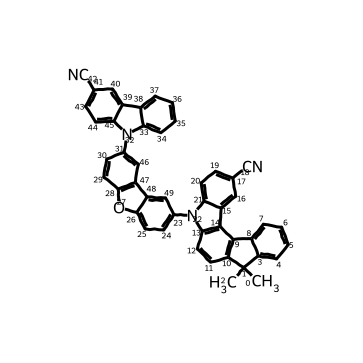 CC1(C)c2ccccc2-c2c1ccc1c2c2cc(C#N)ccc2n1-c1ccc2oc3ccc(-n4c5ccccc5c5cc(C#N)ccc54)cc3c2c1